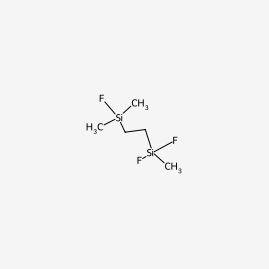 C[Si](C)(F)CC[Si](C)(F)F